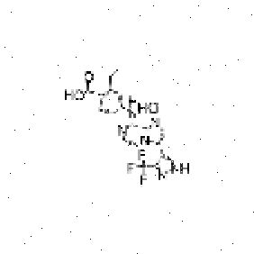 CCc1cc(Nc2nccn3c(-c4c[nH]nc4C(F)(F)F)cnc23)ccc1C(=O)O.Cl